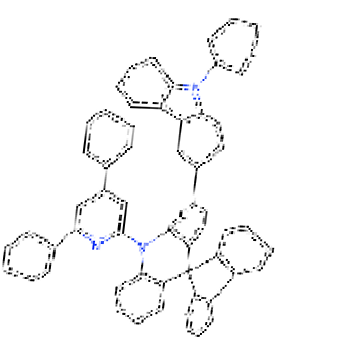 c1ccc(-c2cc(-c3ccccc3)nc(N3c4ccccc4C4(c5ccccc5-c5ccccc54)c4ccc(-c5ccc6c(c5)c5ccccc5n6-c5ccccc5)cc43)c2)cc1